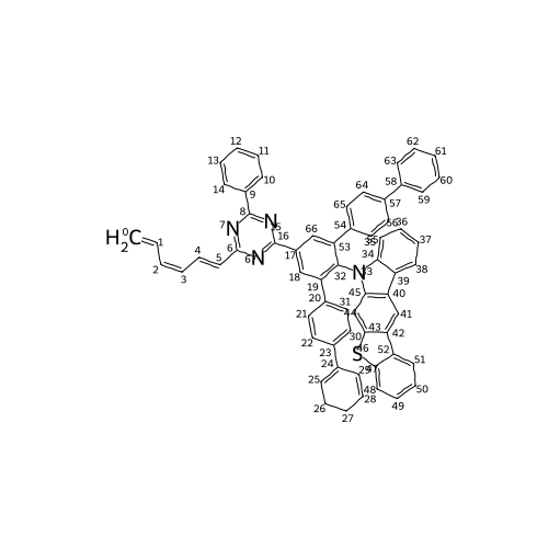 C=C/C=C\C=C\c1nc(-c2ccccc2)nc(-c2cc(-c3ccc(C4=CCCC=C4)cc3)c(-n3c4ccccc4c4cc5c(cc43)sc3ccccc35)c(-c3ccc(-c4ccccc4)cc3)c2)n1